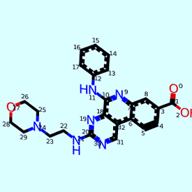 O=C(O)c1c#cc2c(c1)nc(Nc1ccccc1)c1nc(NCCN3CCOCC3)ncc12